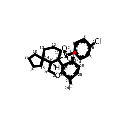 O=S(=O)(c1ccc(Cl)cc1)[C@@]12CCCC3(CCCC3)[C@@H]1COc1c(F)ccc(F)c12